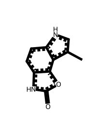 Cc1c[nH]c2ccc3[nH]c(=O)oc3c12